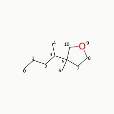 CCCC(C)C1(C)CCOC1